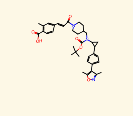 Cc1cc(C=CC(=O)N2CCC(CN(C(=O)OC(C)(C)C)C3CC3c3ccc(-c4c(C)noc4C)cc3)CC2)ccc1C(=O)O